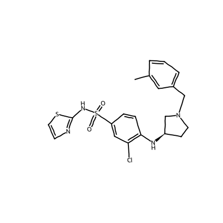 Cc1cccc(CN2CC[C@@H](Nc3ccc(S(=O)(=O)Nc4nccs4)cc3Cl)C2)c1